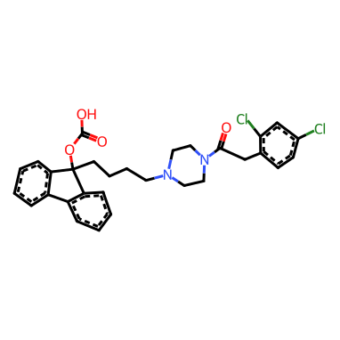 O=C(O)OC1(CCCCN2CCN(C(=O)Cc3ccc(Cl)cc3Cl)CC2)c2ccccc2-c2ccccc21